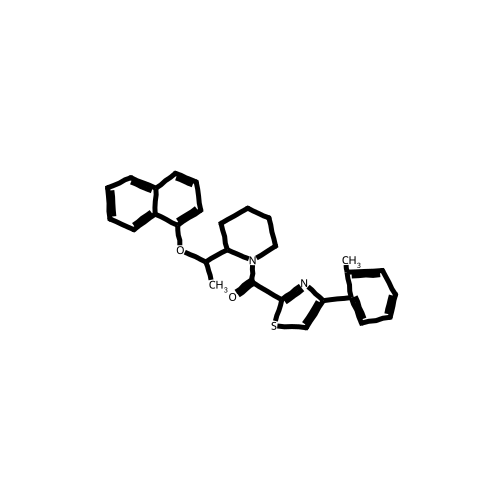 Cc1ccccc1-c1csc(C(=O)N2CCCCC2C(C)Oc2cccc3ccccc23)n1